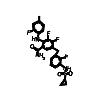 Cc1ccc(Nc2c(C(N)=O)cc(Cc3cccc(NS(=O)(=O)C4CC4)c3F)c(F)c2F)c(F)c1